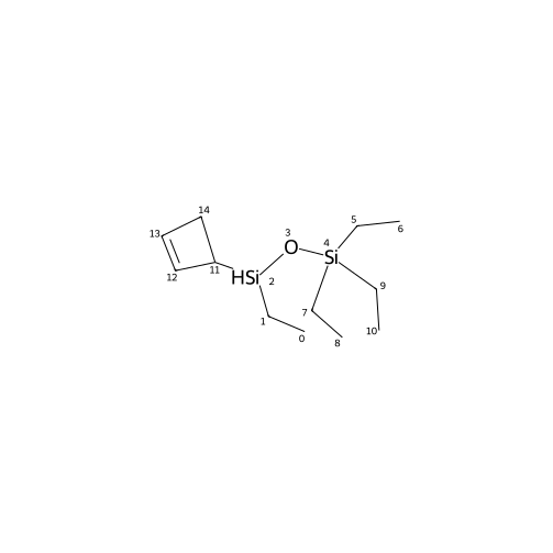 CC[SiH](O[Si](CC)(CC)CC)C1C=CC1